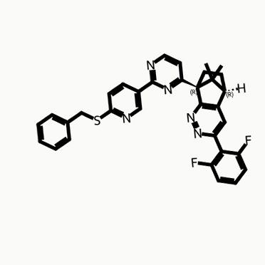 CC1(C)[C@H]2CC[C@@]1(c1ccnc(-c3ccc(SCc4ccccc4)nc3)n1)c1nnc(-c3c(F)cccc3F)cc12